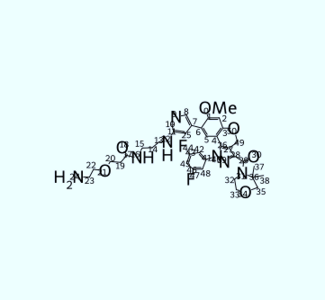 COc1cc2c(cc1-c1cncc(NCCCNC(=O)CCOCCN)c1)-c1c(c(C(=O)N3CCOCC3(C)C)nn1-c1cc(F)cc(F)c1)CO2